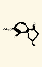 COc1ccc2c(c1F)CC(C)CC2=O